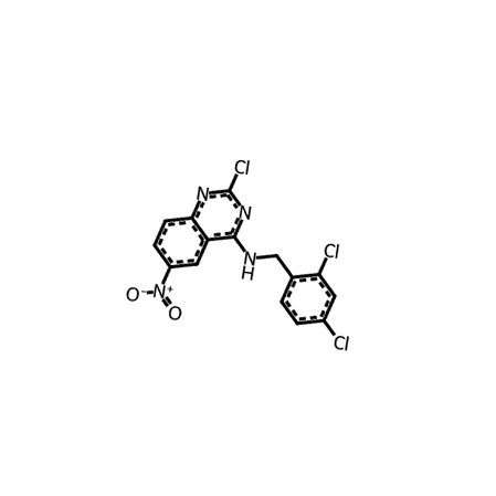 O=[N+]([O-])c1ccc2nc(Cl)nc(NCc3ccc(Cl)cc3Cl)c2c1